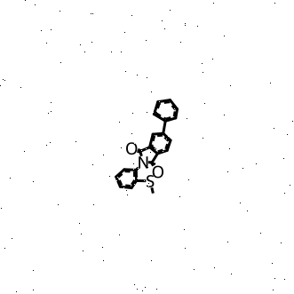 CSc1ccccc1N1C(=O)c2ccc(-c3ccccc3)cc2C1=O